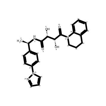 C[C@@H](NC(=O)[C@H](O)[C@@H](O)C(=O)N1CCCc2ccccc21)c1ccc(-n2cccn2)cc1